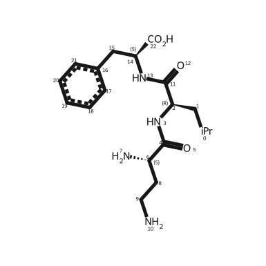 CC(C)C[C@@H](NC(=O)[C@@H](N)CCN)C(=O)N[C@@H](Cc1ccccc1)C(=O)O